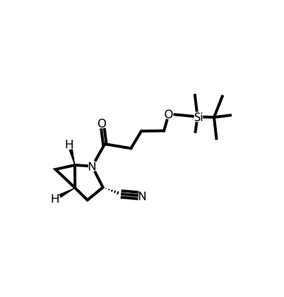 CC(C)(C)[Si](C)(C)OCCCC(=O)N1[C@H](C#N)C[C@@H]2C[C@@H]21